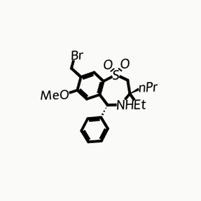 CCC[C@]1(CC)CS(=O)(=O)c2cc(CBr)c(OC)cc2[C@@H](c2ccccc2)N1